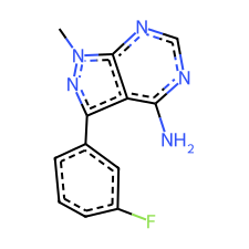 Cn1nc(-c2cccc(F)c2)c2c(N)ncnc21